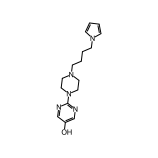 Oc1cnc(N2CCN(CCCCn3cccc3)CC2)nc1